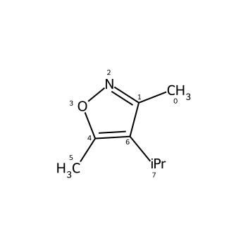 Cc1noc(C)c1C(C)C